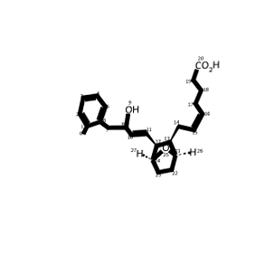 Cc1ccccc1CC(O)/C=C/[C@H]1[C@@H](C/C=C\CCCC(=O)O)[C@H]2CC[C@@H]1O2